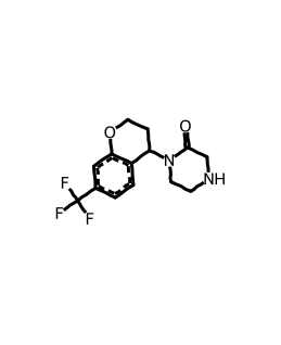 O=C1CNCCN1C1CCOc2cc(C(F)(F)F)ccc21